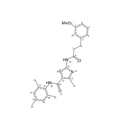 COc1cccc(CCC(=O)Nc2nc(C)c(C(=O)Nc3c(C)cc(C)cc3C)s2)c1